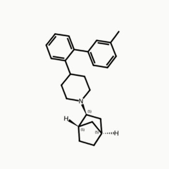 Cc1cccc(-c2ccccc2C2CCN([C@H]3C[C@H]4CC[C@H]3C4)CC2)c1